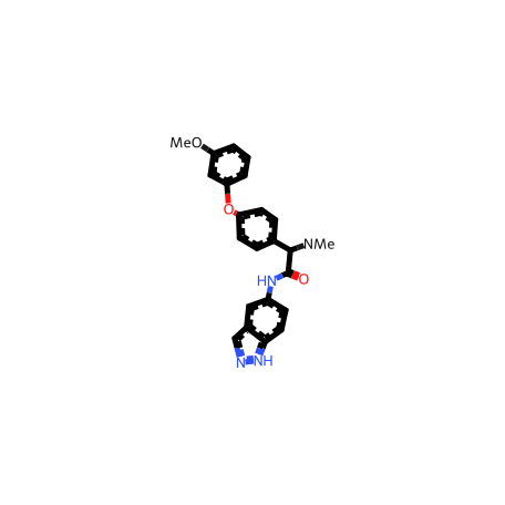 CNC(C(=O)Nc1ccc2[nH]ncc2c1)c1ccc(Oc2cccc(OC)c2)cc1